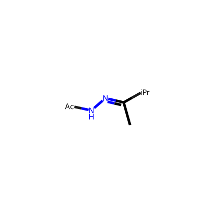 CC(=O)N/N=C(\C)C(C)C